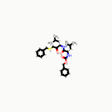 CC(C)C[C@H](NC(=O)[C@H](CC(C)C)NC(=O)OCc1ccccc1)C(=O)CSCc1ccccc1